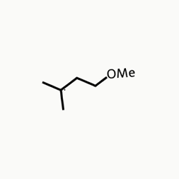 COCC[C](C)C